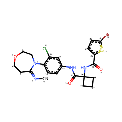 N#CN=C1CCOCCN1c1ccc(NC(=O)C2(NC(=O)c3ccc(Br)s3)CCC2)cc1Cl